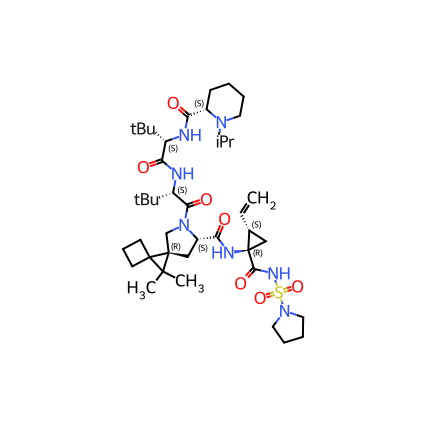 C=C[C@@H]1C[C@]1(NC(=O)[C@@H]1C[C@@]2(CN1C(=O)[C@@H](NC(=O)[C@@H](NC(=O)[C@@H]1CCCCN1C(C)C)C(C)(C)C)C(C)(C)C)C(C)(C)C21CCC1)C(=O)NS(=O)(=O)N1CCCC1